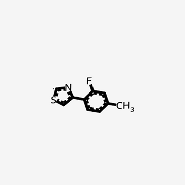 Cc1ccc(-c2cs[c]n2)c(F)c1